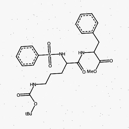 COC(=O)C(Cc1ccccc1)NC(=O)C(CCCNC(=O)OC(C)(C)C)NS(=O)(=O)c1ccccc1